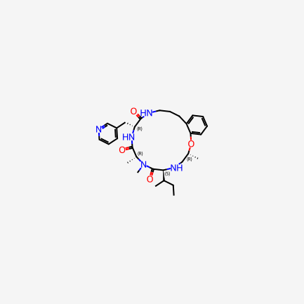 CCC(C)[C@@H]1NC[C@@H](C)Oc2ccccc2CCCNC(=O)[C@@H](Cc2cccnc2)NC(=O)[C@@H](C)N(C)C1=O